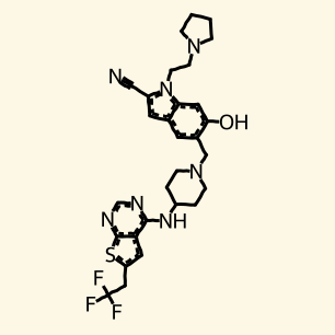 N#Cc1cc2cc(CN3CCC(Nc4ncnc5sc(CC(F)(F)F)cc45)CC3)c(O)cc2n1CCN1CCCC1